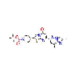 Cc1cn2nc(-c3cc(=O)n4cc(C5CCN(C(=O)OC(C)(C)C)CC5)sc4n3)cc(C)c2n1